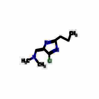 CCCC1=N/C(=C/N(C)C)C(Cl)=N1